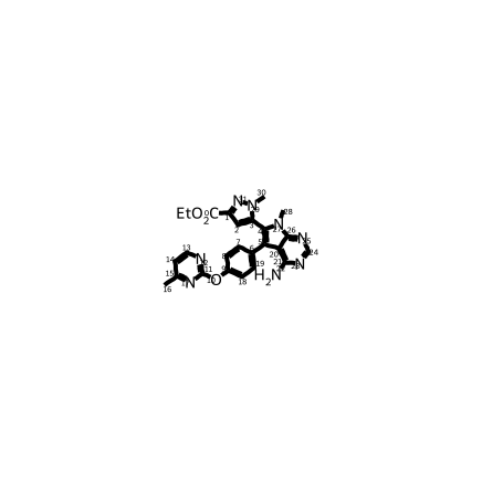 CCOC(=O)c1cc(-c2c(-c3ccc(Oc4nccc(C)n4)cc3)c3c(N)ncnc3n2C)n(C)n1